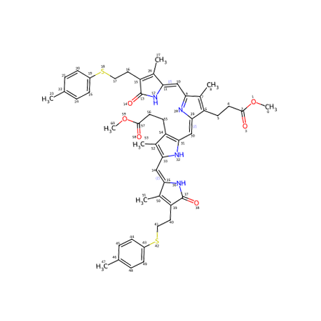 COC(=O)CCC1=C(C)C(/C=C2\NC(=O)C(CCSc3ccc(C)cc3)=C2C)=NC/1=C\c1[nH]c(/C=C2\NC(=O)C(CCSc3ccc(C)cc3)=C2C)c(C)c1CCC(=O)OC